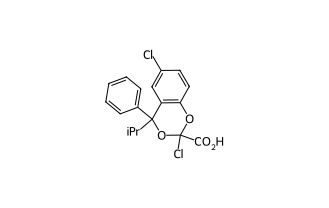 CC(C)C1(c2ccccc2)OC(Cl)(C(=O)O)Oc2ccc(Cl)cc21